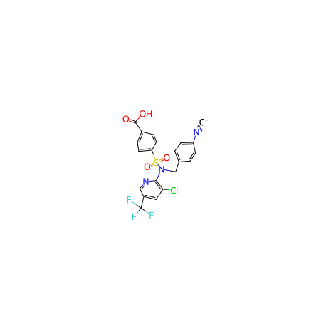 [C-]#[N+]c1ccc(CN(c2ncc(C(F)(F)F)cc2Cl)S(=O)(=O)c2ccc(C(=O)O)cc2)cc1